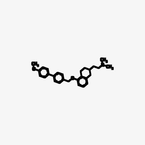 COc1ccc(-c2ccc(COc3cccc4c3CCC(CCN(C)C)C4)cc2)cc1